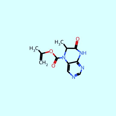 C=C(C)OC(=O)N1c2cncnc2NC(=O)C1C